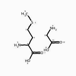 CSCCC(N)C(=O)O.NCC(=O)O